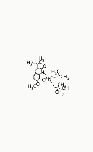 COc1ccc2cc(C(C)C)c(=O)n(CC(=O)N(CCCC(C)(C)CO)CCC(C)C)c2c1